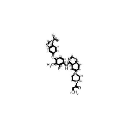 C=CC(=O)N1CCN(c2ccc3ncnc(Nc4ccc(Oc5ccc6c(c5)ncn6C(F)F)c(C)c4F)c3c2)CC1